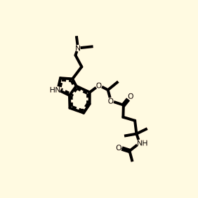 CC(=O)NC(C)(C)CCC(=O)OC(C)Oc1cccc2[nH]cc(CCN(C)C)c12